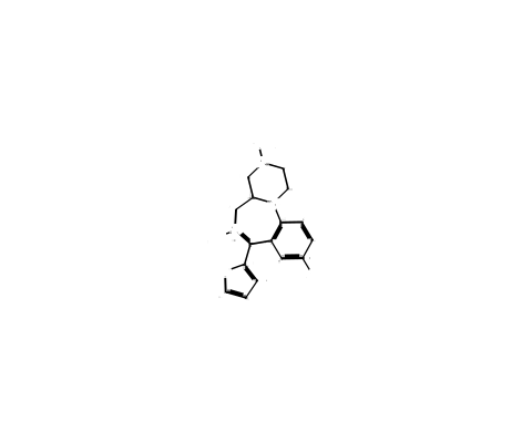 CN1CCN2c3ccc(Cl)cc3C(c3ccco3)=[N+]([O-])CC2C1